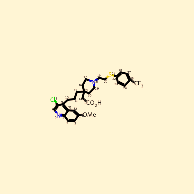 COc1ccc2ncc(Cl)c(CCCC3(CC(=O)O)CCN(CCSc4ccc(C(F)(F)F)cc4)CC3)c2c1